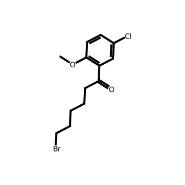 COc1ccc(Cl)cc1C(=O)CCCCCBr